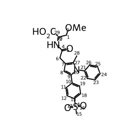 COC[C@@H](NC(=O)Cc1cc(-c2ccc(S(C)(=O)=O)cc2)n(-c2ccccc2)c1C)C(=O)O